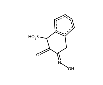 O=C1C(=NO)Cc2ccccc2C1S(=O)(=O)O